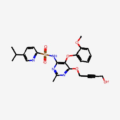 COc1ccccc1Oc1c(NS(=O)(=O)c2ccc(C(C)C)cn2)nc(C)nc1OCC#CCO